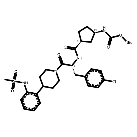 CC(C)(C)OC(=O)N[C@@H]1CC[C@H](C(=O)N[C@H](Cc2ccc(Cl)cc2)C(=O)N2CCC(c3ccccc3NS(C)(=O)=O)CC2)C1